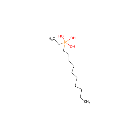 CCCCCCCCCCP(O)(O)(O)CC